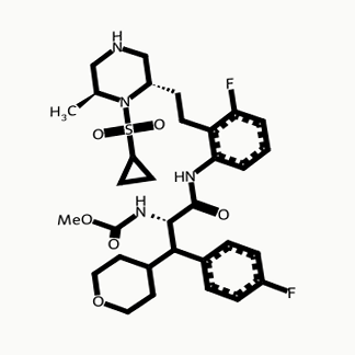 COC(=O)N[C@H](C(=O)Nc1cccc(F)c1CC[C@H]1CNC[C@H](C)N1S(=O)(=O)C1CC1)C(c1ccc(F)cc1)C1CCOCC1